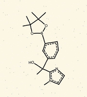 Cn1ccnc1C(C)(O)c1cccc(B2OC(C)(C)C(C)(C)O2)c1